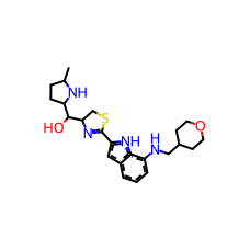 CC1CCC(C(O)C2CSC(c3cc4cccc(NCC5CCOCC5)c4[nH]3)=N2)N1